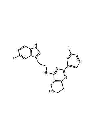 Fc1cncc(-c2nc3c(c(NCCc4c[nH]c5ccc(F)cc45)n2)CNCC3)c1